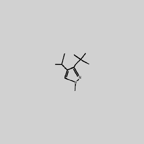 CC(C)c1cn(C)nc1C(C)(C)C